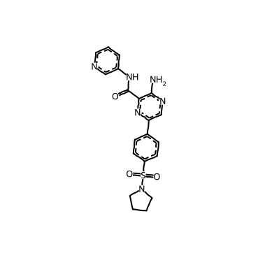 Nc1ncc(-c2ccc(S(=O)(=O)N3CCCC3)cc2)nc1C(=O)Nc1cccnc1